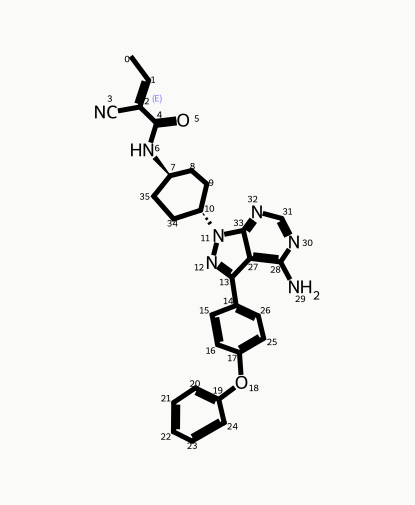 C/C=C(\C#N)C(=O)N[C@H]1CC[C@H](n2nc(-c3ccc(Oc4ccccc4)cc3)c3c(N)ncnc32)CC1